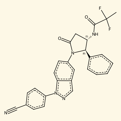 CC(F)(F)C(=O)N[C@H]1CC(=O)N(c2ccc3c(cnn3-c3ccc(C#N)cc3)c2)[C@@H]1c1ccccc1